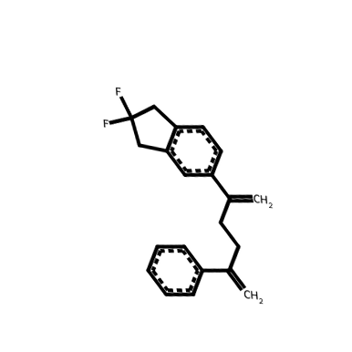 C=C(CCC(=C)c1ccc2c(c1)CC(F)(F)C2)c1ccccc1